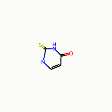 O=C1C=C[N]C(=S)N1